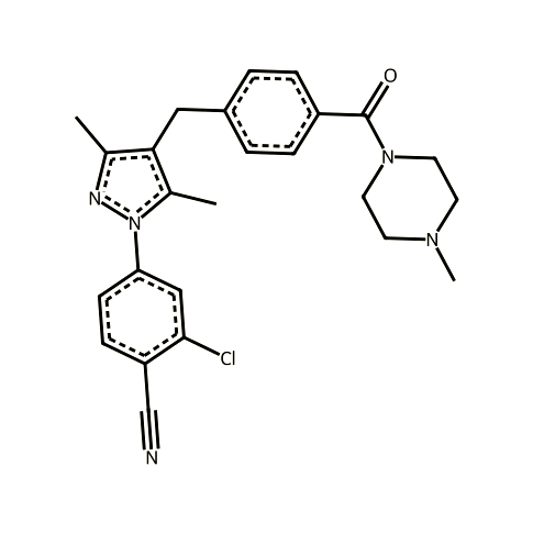 Cc1nn(-c2ccc(C#N)c(Cl)c2)c(C)c1Cc1ccc(C(=O)N2CCN(C)CC2)cc1